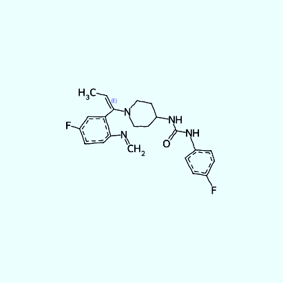 C=Nc1ccc(F)cc1/C(=C\C)N1CCC(NC(=O)Nc2ccc(F)cc2)CC1